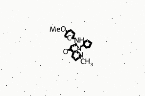 COc1ccc(Nc2cc(=O)c3ccc(C)nc3n2-c2ccccc2)cc1